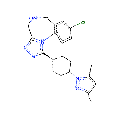 Cc1cc(C)n([C@H]2CC[C@H](c3nnc4n3-c3ccc(Cl)cc3CNC4)CC2)n1